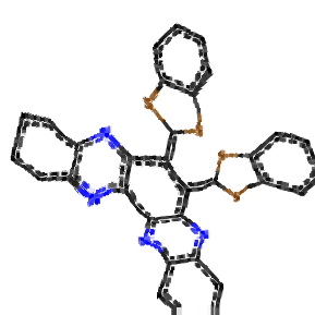 c1ccc2c(c1)SC(=c1c(=C3Sc4ccccc4S3)c3nc4ccccc4nc3c3nc4ccccc4nc13)S2